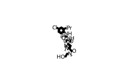 CC(C)c1cc(Cl)cc(C(C)C)c1NC(=O)NS(=O)(=O)c1cc(C(=O)N(C)CCO)n(C)n1